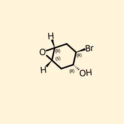 O[C@@H]1C[C@@H]2O[C@@H]2C[C@H]1Br